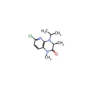 CC(C)N1c2nc(Cl)ccc2N(C)C(=O)[C@@H]1C